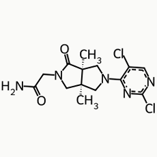 C[C@]12CN(CC(N)=O)C(=O)[C@@]1(C)CN(c1nc(Cl)ncc1Cl)C2